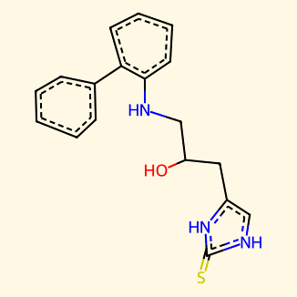 OC(CNc1ccccc1-c1ccccc1)Cc1c[nH]c(=S)[nH]1